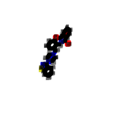 O=C1C2C3CCC(O3)C2C(=O)N1CC1CCCCC1CN1CCN(c2nsc3ccccc23)CC1